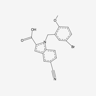 COc1ccc(Br)cc1Cn1c(C(=O)O)cc2cc(C#N)ccc21